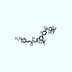 Nc1ccc(C=CC(=O)NCc2cc3cc(-c4ccc(C(=O)N5CCC(O)(C(F)(F)F)C5)cn4)cc(C(F)(F)F)c3o2)cn1